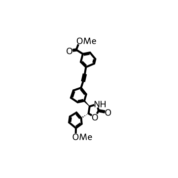 COC(=O)c1cccc(C#Cc2cccc([C@H]3NC(=O)O[C@@H]3c3cccc(OC)c3)c2)c1